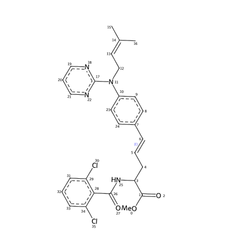 COC(=O)C(C/C=C/c1ccc(N(CC=C(C)C)c2ncccn2)cc1)NC(=O)c1c(Cl)cccc1Cl